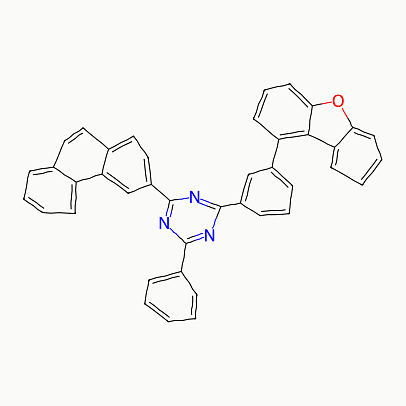 c1ccc(-c2nc(-c3cccc(-c4cccc5oc6ccccc6c45)c3)nc(-c3ccc4ccc5ccccc5c4c3)n2)cc1